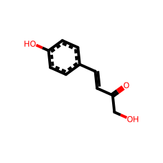 O=C(C=Cc1ccc(O)cc1)CO